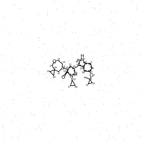 CC1(Oc2ccc3[nH]nc(-c4cc(N5CCOCC6(CC6)C5)c(=O)n(C5CC5)n4)c3c2)CC1